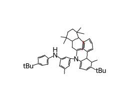 Cc1cc(Nc2ccc(C(C)(C)C)cc2)cc(N(C2=CCC3C(C2)C(C)(C)CCC3(C)C)C2=CC=C(C(C)(C)C)C(C)C2c2ccccc2)c1